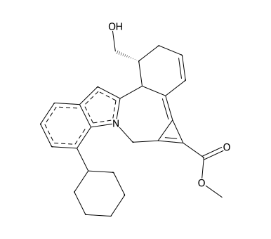 COC(=O)C1=C2Cn3c(cc4cccc(C5CCCCC5)c43)C3C(=C21)C=CC[C@H]3CO